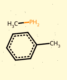 CP.Cc1ccccc1